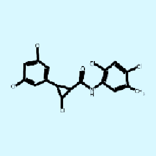 Cc1cc(NC(=O)C2C(Cl)C2c2cc(Cl)cc(Cl)c2)c(Cl)cc1Cl